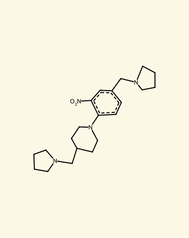 O=[N+]([O-])c1cc(CN2CCCC2)ccc1N1CCC(CN2CCCC2)CC1